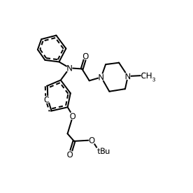 CN1CCN(CC(=O)N(c2ccccc2)c2cccc(OCC(=O)OC(C)(C)C)c2)CC1